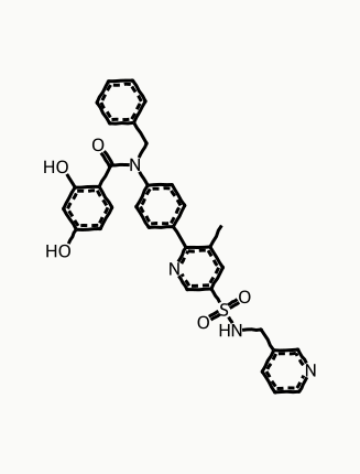 Cc1cc(S(=O)(=O)NCc2cccnc2)cnc1-c1ccc(N(Cc2ccccc2)C(=O)c2ccc(O)cc2O)cc1